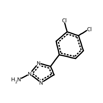 Nn1ncc(-c2ccc(Cl)c(Cl)c2)n1